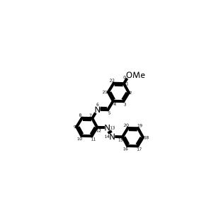 COc1ccc(C=Nc2ccccc2N=Nc2ccccc2)cc1